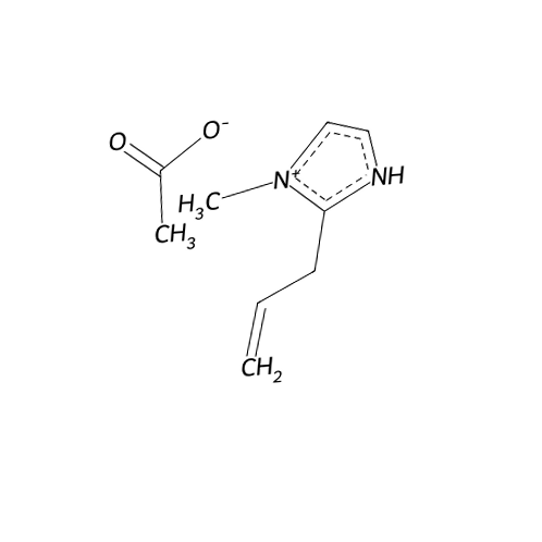 C=CCc1[nH]cc[n+]1C.CC(=O)[O-]